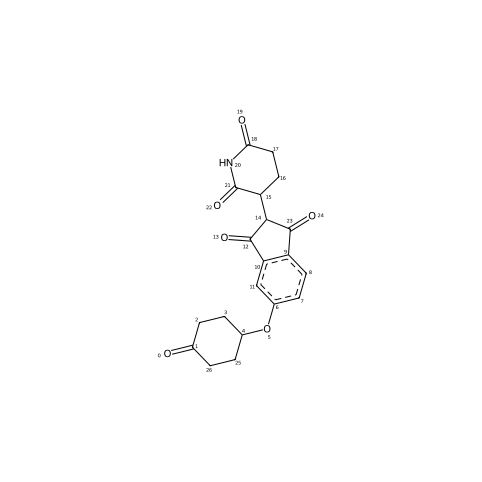 O=C1CCC(Oc2ccc3c(c2)C(=O)C(C2CCC(=O)NC2=O)C3=O)CC1